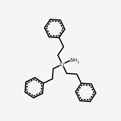 [SiH3][Cr]([CH2]Cc1ccccc1)([CH2]Cc1ccccc1)[CH2]Cc1ccccc1